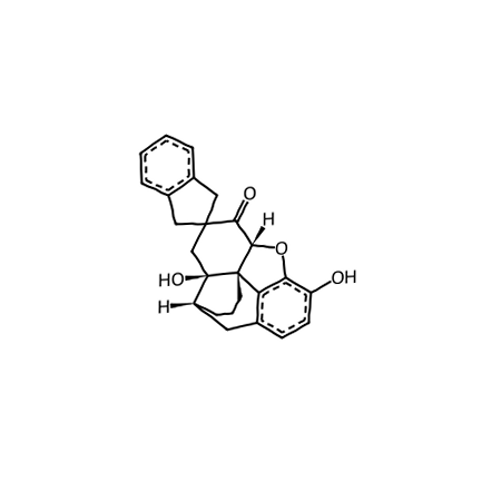 O=C1[C@@H]2Oc3c(O)ccc4c3[C@@]23CCC[C@H](C4)[C@]3(O)CC12Cc1ccccc1C2